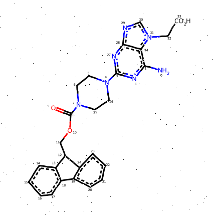 Nc1nc(N2CCN(C(=O)OCC3c4ccccc4-c4ccccc43)CC2)nc2ncn(CC(=O)O)c12